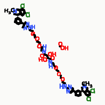 CN1Cc2c(Cl)cc(Cl)cc2[C@H](c2cccc(-c3cnc(NCCOCCOCCOCCNC(=O)[C@H](O)[C@@H](O)C(=O)NCCOCCOCCOCCNc4ncc(-c5cccc([C@@H]6CN(C)Cc7c(Cl)cc(Cl)cc76)c5)cn4)nc3)c2)C1.O=CO